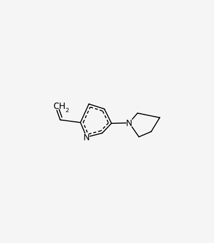 C=Cc1ccc(N2CCCC2)cn1